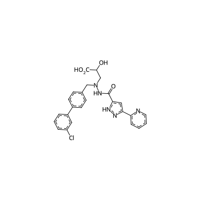 O=C(NN(Cc1ccc(-c2cccc(Cl)c2)cc1)CC(O)C(=O)O)c1cc(-c2ccccn2)n[nH]1